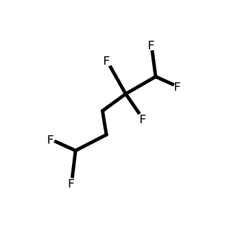 FC(F)CCC(F)(F)C(F)F